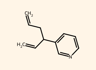 C=CCC(C=C)c1cccnc1